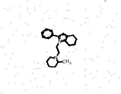 CC1CCCCN1CCn1c(-c2ccccc2)cc2c1CCCC2